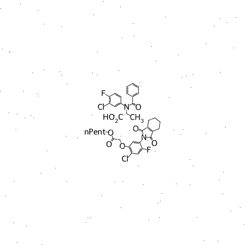 CCCCCOC(=O)COc1cc(N2C(=O)C3=C(CCCC3)C2=O)c(F)cc1Cl.C[C@H](C(=O)O)N(C(=O)c1ccccc1)c1ccc(F)c(Cl)c1